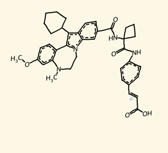 COc1ccc2c(c1)N(C)CCn1c-2c(C2CCCCC2)c2ccc(C(=O)NC3(C(=O)Nc4ccc(/C=C/C(=O)O)cc4)CCC3)cc21